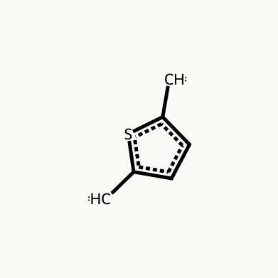 [CH]c1ccc([CH])s1